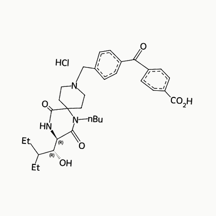 CCCCN1C(=O)[C@@H]([C@H](O)C(CC)CC)NC(=O)C12CCN(Cc1ccc(C(=O)c3ccc(C(=O)O)cc3)cc1)CC2.Cl